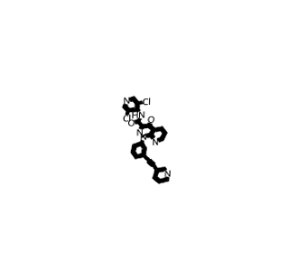 O=C(Nc1c(Cl)cncc1Cl)c1nn(-c2cccc(C#Cc3cccnc3)c2)c2ncccc2c1=O